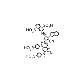 Cc1c(C#N)c(Nc2ccc(S(=O)(=O)O)cc2)nc(Nc2ccc(S(=O)(=O)O)cc2)c1/N=N/c1sc(/N=N/c2cc(S(=O)(=O)O)c3cccc(S(=O)(=O)O)c3c2)c(-c2ccc3ccccc3c2)c1C#N